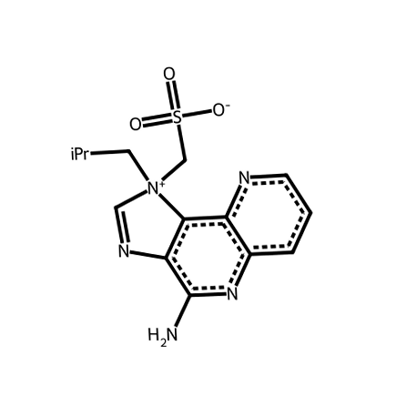 CC(C)C[N+]1(CS(=O)(=O)[O-])C=Nc2c(N)nc3cccnc3c21